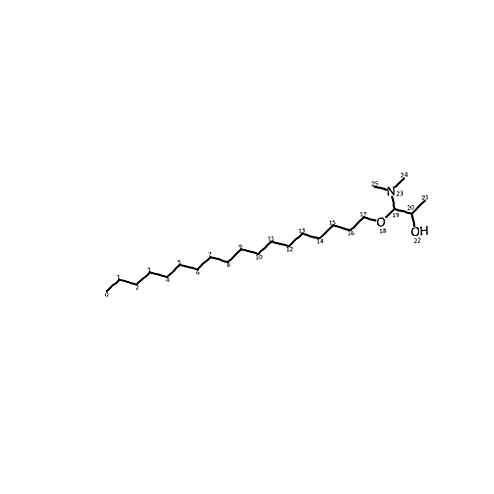 CCCCCCCCCCCCCCCCCCOC(C(C)O)N(C)C